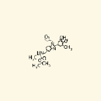 CCC(NCc1ccc2c(c1)nc(-c1cc(C)c(=O)n(C)c1)n2CC1CCOC1)C(=O)OC(C)C